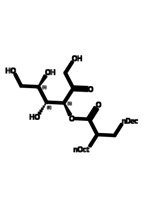 CCCCCCCCCCCC(CCCCCCCC)C(=O)O[C@H](C(=O)CO)[C@H](O)[C@H](O)CO